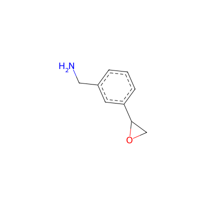 NCc1cccc(C2CO2)c1